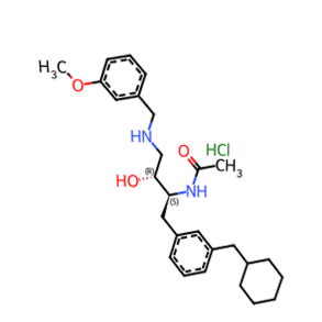 COc1cccc(CNC[C@@H](O)[C@H](Cc2cccc(CC3CCCCC3)c2)NC(C)=O)c1.Cl